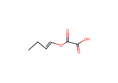 CCC=COC(=O)C(=O)O